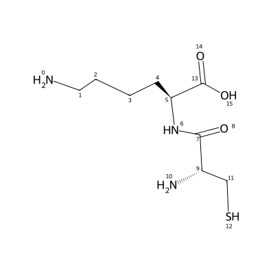 NCCCC[C@H](NC(=O)[C@@H](N)CS)C(=O)O